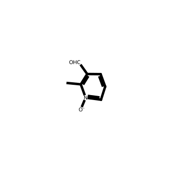 Cc1c(C=O)ccc[n+]1[O-]